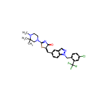 CN1CCN(C2=NC(=O)C(=Cc3ccc4c(cnn4Cc4ccc(Cl)cc4C(F)(F)F)c3)S2)CC1(C)C